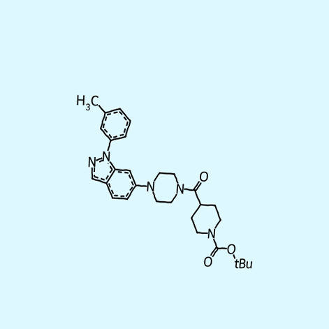 Cc1cccc(-n2ncc3ccc(N4CCN(C(=O)C5CCN(C(=O)OC(C)(C)C)CC5)CC4)cc32)c1